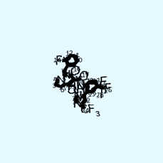 C[C@]12CCCN1N(Cc1ccccc1F)C(=O)C(C(=O)Nc1ccc(C(F)(F)I)cc1-c1cc(C(F)(F)F)ncn1)=C2O